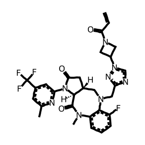 C=CC(=O)N1CC(n2cnc(CN3C[C@H]4CC(=O)N(c5cc(C(F)(F)F)cc(C)n5)[C@@H]4C(=O)N(C)c4cccc(F)c43)n2)C1